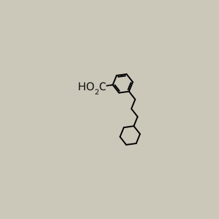 O=C(O)c1cccc(CCCC2CCCCC2)c1